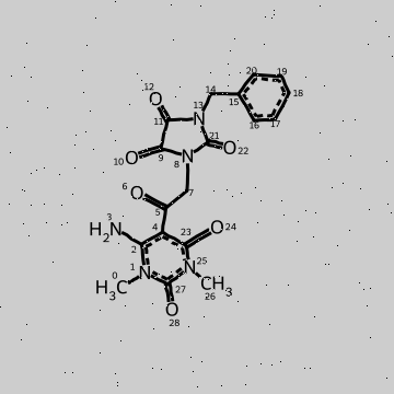 Cn1c(N)c(C(=O)CN2C(=O)C(=O)N(Cc3ccccc3)C2=O)c(=O)n(C)c1=O